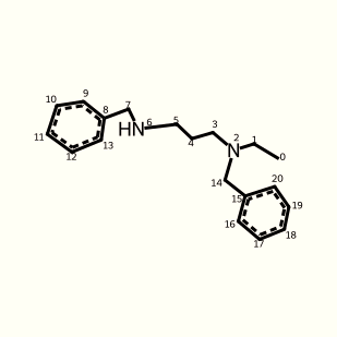 CCN(CCCNCc1ccccc1)Cc1ccccc1